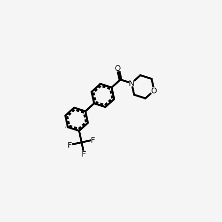 O=C(c1ccc(-c2cc[c]c(C(F)(F)F)c2)cc1)N1CCOCC1